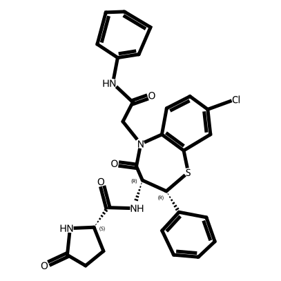 O=C(CN1C(=O)[C@@H](NC(=O)[C@@H]2CCC(=O)N2)[C@@H](c2ccccc2)Sc2cc(Cl)ccc21)Nc1ccccc1